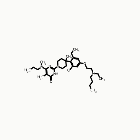 CCCCN(CC)CCOc1cc(Cl)c(C2(C)CCN(c3nc(N(C)CCC)c(C)c(=O)[nH]3)CC2)c(CC)c1